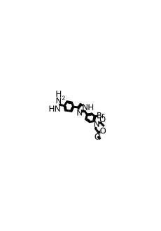 COC(=O)CN(C(C)=O)c1ccc(-c2nc(-c3ccc(C(=N)N)cc3)c[nH]2)cc1Br